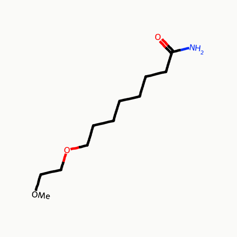 COCCOCCCCCCCC(N)=O